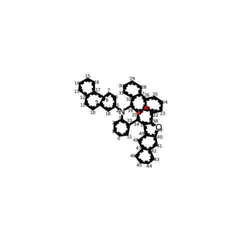 c1ccc(N(c2ccc3c(ccc4ccccc43)c2)c2cc3ccccc3c3ccccc23)c(-c2cccc3oc4cc5ccccc5cc4c23)c1